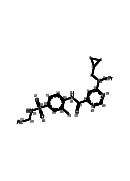 CCCN(CC1CC1)c1cc(C(=O)Nc2ccc(S(=O)(=O)NCC(C)=O)cc2C)ncn1